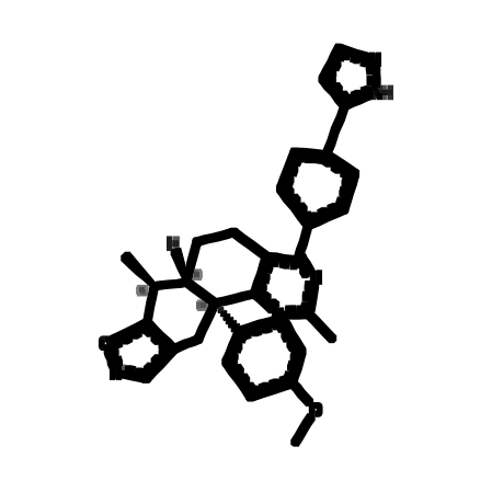 COc1ccc([C@]23Cc4cnoc4[C@@H](C)[C@@H]2CCc2c(-c4ccc(-c5ccn[nH]5)cc4)nc(C)nc23)cc1